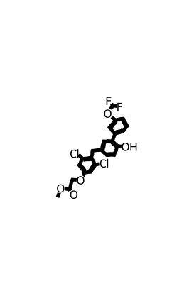 COC(=O)COc1cc(Cl)c(Cc2ccc(O)c(-c3cccc(OC(F)F)c3)c2)c(Cl)c1